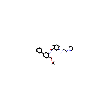 Cc1ccc(N(C)CCN2CCCC2)cc1C(=O)Nc1cc(-c2ccccc2)ccc1C(=O)OC(C)(C)C